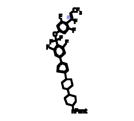 CCCCCC1CCC(C2CCC(c3ccc(-c4cc(F)c(C(F)(F)Oc5cc(F)c(/C(F)=C/C(F)(F)F)c(F)c5)c(F)c4)cc3)CC2)CC1